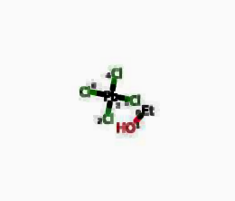 CCO.[Cl][Pb]([Cl])([Cl])[Cl]